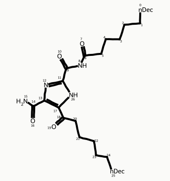 CCCCCCCCCCCCCCCC(=O)NC(=O)c1nc(C(N)=O)c(C(=O)CCCCCCCCCCCCCCC)[nH]1